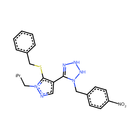 CC(C)Cn1ncc(C2=NNNN2Cc2ccc([N+](=O)[O-])cc2)c1SCc1ccccc1